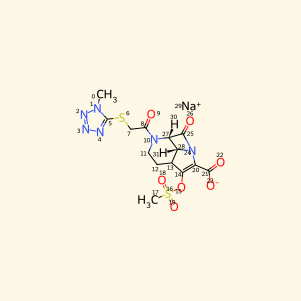 Cn1nnnc1SCC(=O)N1CCC2C(OS(C)(=O)=O)=C(C(=O)[O-])N3C(=O)[C@@H]1[C@@H]23.[Na+]